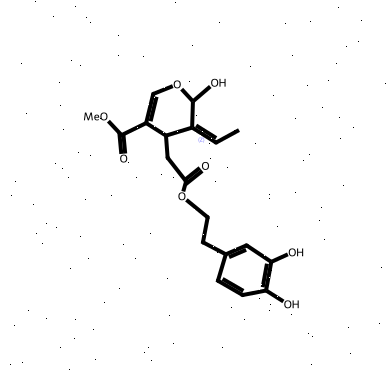 C/C=C1\C(O)OC=C(C(=O)OC)C1CC(=O)OCCc1ccc(O)c(O)c1